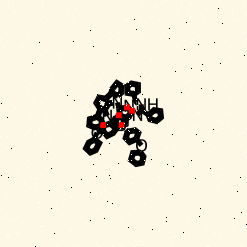 c1ccc(Oc2ccc(B(c3ccc(Oc4ccccc4)cc3)c3cccc(-n4c5ccccc5c5ccc6c7ccccc7n(-c7cccc(C8=NC(c9ccccc9)NC(c9ccccc9)=N8)c7)c6c54)c3)cc2)cc1